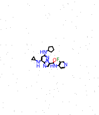 O=C(Nc1ccncc1F)c1cnc2c(NC3CC3)cc(NC3CCCC3)nn12